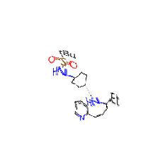 CC[C@@H](/C=C\c1ccccn1)NC[C@H]1CC[C@H](NS(=O)(=O)C(C)(C)C)CC1